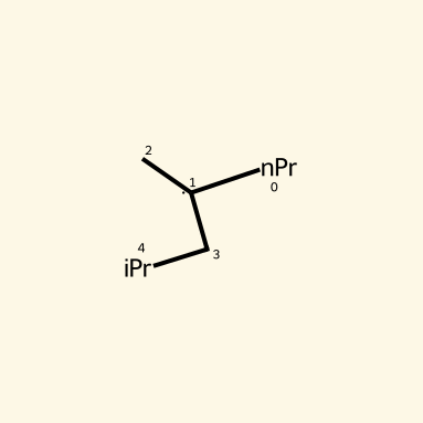 CCC[C](C)CC(C)C